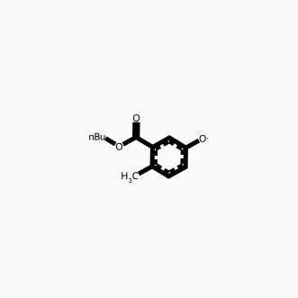 CCCCOC(=O)c1cc([O])ccc1C